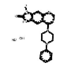 CCn1c(=O)[nH]c2cc3c(N4CCN(c5ccccc5)CC4)ncnc3cc21.Cl.Cl